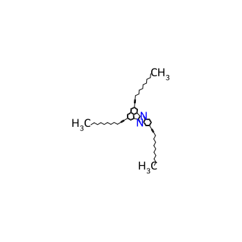 CCCCCCCCCCC#Cc1cc2c3c(cc(C#CCCCCCCCCCC)cc3c1)-c1nc3cc(C#CCCCCCCCCCC)ccc3nc1-2